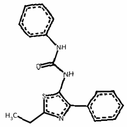 CCc1nc(-c2ccccc2)c(NC(=O)Nc2ccccc2)s1